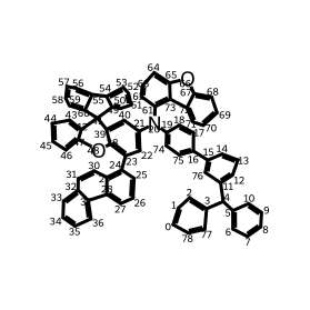 c1ccc(C(c2ccccc2)c2cccc(-c3ccc(N(c4cc(-c5cccc6c5ccc5ccccc56)c5c(c4)C4(c6ccccc6O5)c5ccccc5-c5ccccc54)c4cccc5oc6ccccc6c45)cc3)c2)cc1